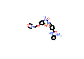 Nc1ccccc1NC(=O)c1ccc(CN2C(=O)Nc3ccc(OCCN4CCOCC4)cc3S2(=O)=O)cc1